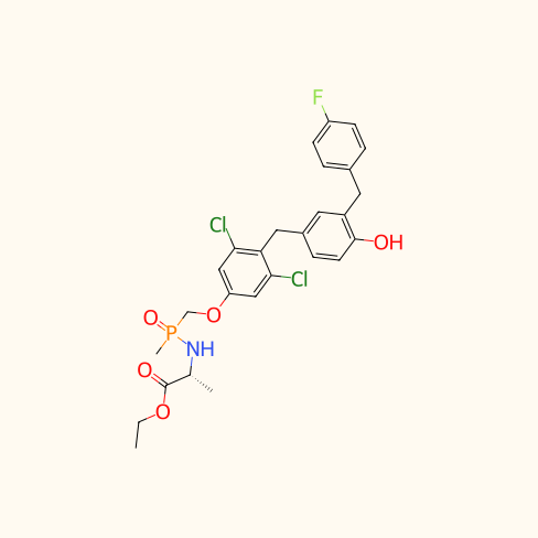 CCOC(=O)[C@@H](C)NP(C)(=O)COc1cc(Cl)c(Cc2ccc(O)c(Cc3ccc(F)cc3)c2)c(Cl)c1